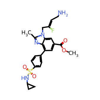 COC(=O)c1cc(-c2ccc(S(=O)(=O)NC3CC3)cc2)c2nc(C)n(CC(F)=CCN)c2c1